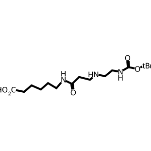 CC(C)(C)OC(=O)NCCNCCC(=O)NCCCCCC(=O)O